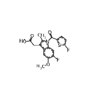 COc1cc2c(CC(=O)O)c(C)n(C(=O)c3ccc(F)s3)c2cc1F